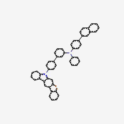 c1ccc(N(c2ccc(-c3ccc4ccccc4c3)cc2)c2cccc(-c3ccc(-n4c5ccccc5c5cc6c(cc54)sc4ccccc46)cc3)c2)cc1